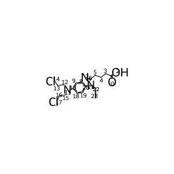 O=C(O)CCCc1nc2cc(N(CCCl)CCCl)ccc2n1CI